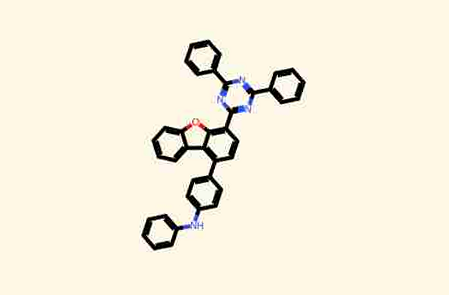 c1ccc(Nc2ccc(-c3ccc(-c4nc(-c5ccccc5)nc(-c5ccccc5)n4)c4oc5ccccc5c34)cc2)cc1